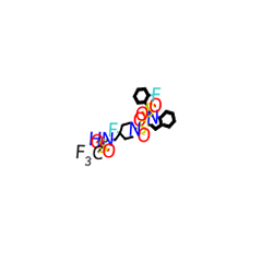 O=S(=O)(c1cc2ccccc2n1S(=O)(=O)c1ccccc1F)N1CCC(F)(CNS(=O)(=O)C(F)(F)F)CC1